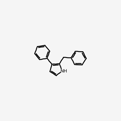 c1ccc(Cc2[nH]ccc2-c2ccccc2)cc1